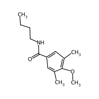 CCCCNC(=O)c1cc(C)c(OC)c(C)c1